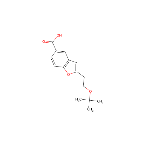 CC(C)(C)OCCc1cc2cc(C(=O)O)ccc2o1